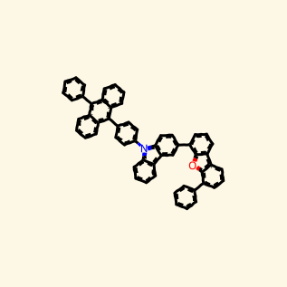 c1ccc(-c2c3ccccc3c(-c3ccc(-n4c5ccccc5c5cc(-c6cccc7c6oc6c(-c8ccccc8)cccc67)ccc54)cc3)c3ccccc23)cc1